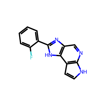 Fc1ccccc1-c1nc2cnc3[nH]ccc3c2[nH]1